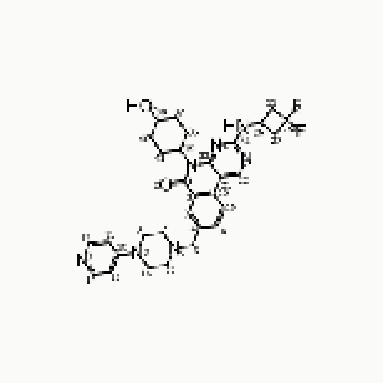 O=c1c2cc(CN3CCN(c4ccncc4)CC3)ccc2c2cnc(NC3CC(F)(F)C3)nc2n1C1CCC(O)CC1